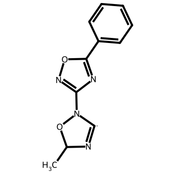 CC1N=[C]N(c2noc(-c3ccccc3)n2)O1